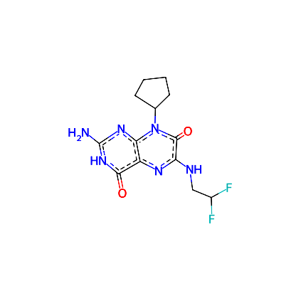 Nc1nc2c(nc(NCC(F)F)c(=O)n2C2CCCC2)c(=O)[nH]1